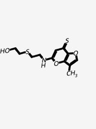 Cc1coc2c(=S)cc(NCCSCCO)oc12